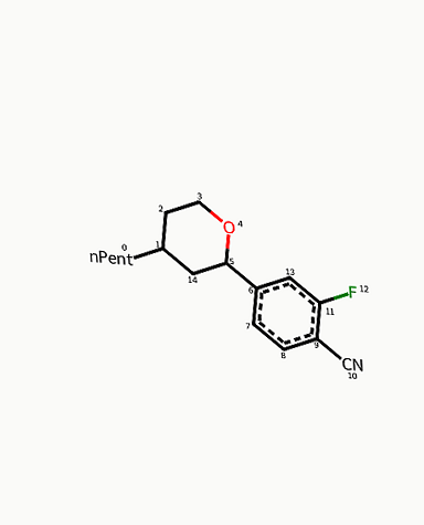 CCCCCC1CCOC(c2ccc(C#N)c(F)c2)C1